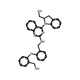 OCc1ccccc1Sc1ccccc1CNc1nc(N2c3ccccc3CC2CO)c2ccccc2n1